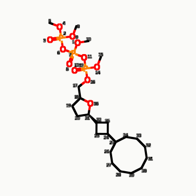 COP(=O)(OC)OP(=O)(OC)OP(=O)(OC)OCC1CC[C@H](C2CC(C3CCCCCCCCC3)C2)O1